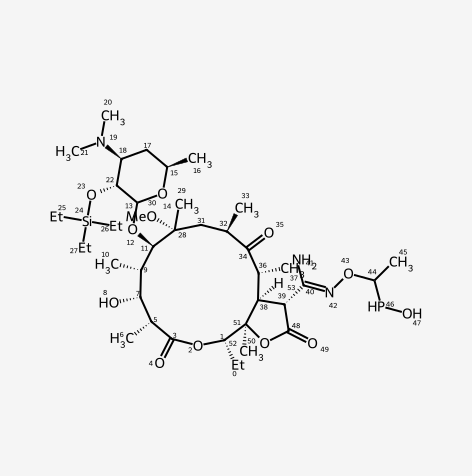 CC[C@@H]1OC(=O)[C@H](C)[C@H](O)[C@H](C)[C@@H](OC2O[C@H](C)C[C@H](N(C)C)[C@H]2O[Si](CC)(CC)CC)[C@](C)(OC)C[C@@H](C)C(=O)[C@H](C)[C@H]2[C@H](/C(N)=N/OC(C)PO)C(=O)O[C@]21C